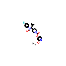 COc1cc(OC(=O)N2CCC(C(C3CC3)N(C=O)c3ccc(F)cc3)CC2)ccn1